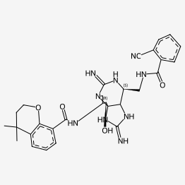 CC1(C)CCOc2c(C(=O)NC3CN4C(=N)N[C@@H](CNC(=O)c5ccccc5C#N)C5NC(=N)NC54[C@@H]3O)cccc21